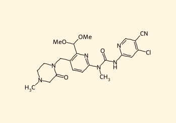 COC(OC)c1nc(N(C)C(=O)Nc2cc(Cl)c(C#N)cn2)ccc1CN1CCN(C)CC1=O